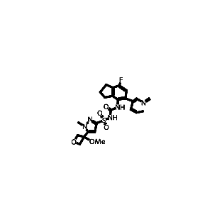 C=N/C=C(\C=C/C)c1cc(F)c2c(c1NC(=O)NS(=O)(=O)c1cc(C3(OC)COC3)n(C)n1)CCC2